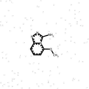 COc1cccc2nnc(N)n12